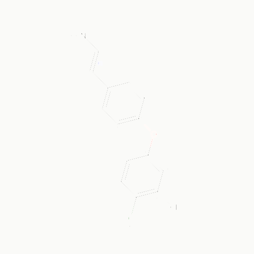 O=[N+]([O-])/C=C/c1ccc(Oc2ccc(Cl)c(C(F)(F)F)c2)cc1